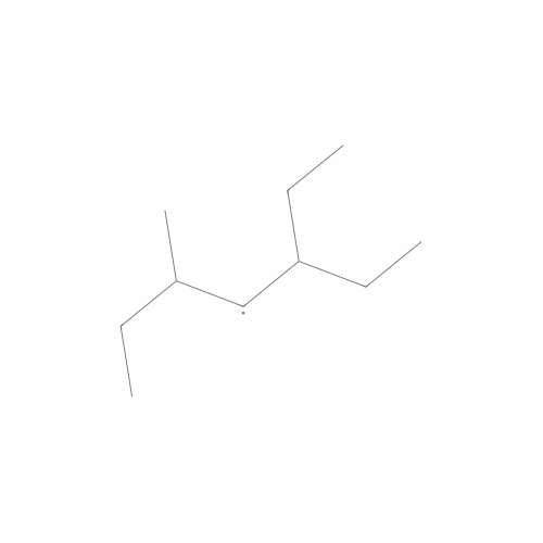 CCC(C)[CH]C(CC)CC